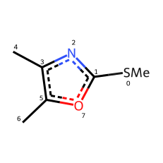 CSc1nc(C)c(C)o1